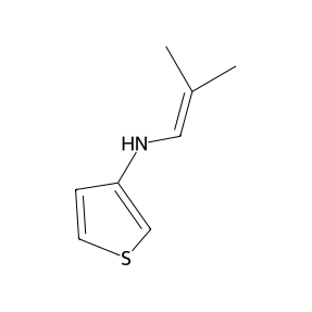 CC(C)=CNc1ccsc1